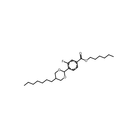 CCCCCCCC1COC(c2ccc(C(=O)OCCCCCC)cc2F)OC1